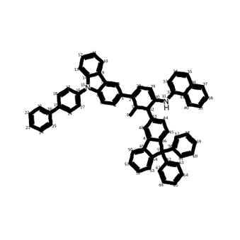 CC1C(c2ccc3c(c2)c2ccccc2n3-c2ccc(-c3ccccc3)cc2)=CC=C(Nc2cccc3ccccc23)C1c1ccc2c(c1)-c1ccccc1C2(c1ccccc1)c1ccccc1